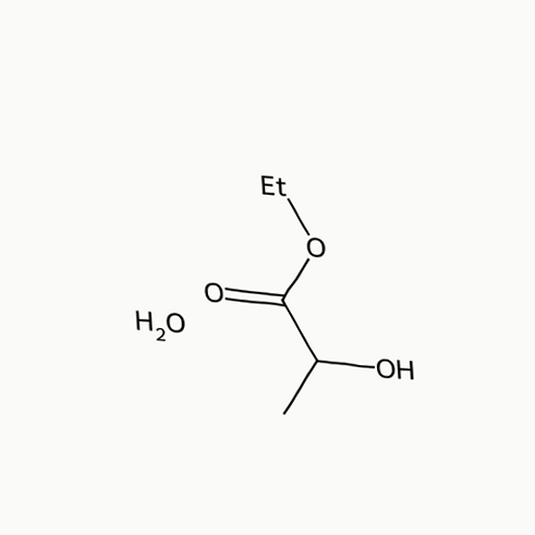 CCOC(=O)C(C)O.O